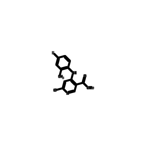 COC(=O)c1cnc(Cl)cc1Nc1ccc(F)cc1C